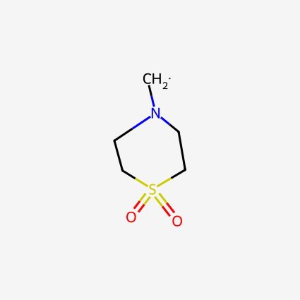 [CH2]N1CCS(=O)(=O)CC1